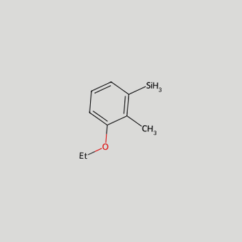 CCOc1cccc([SiH3])c1C